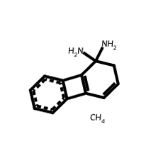 C.NC1(N)CC=CC2=C1c1ccccc12